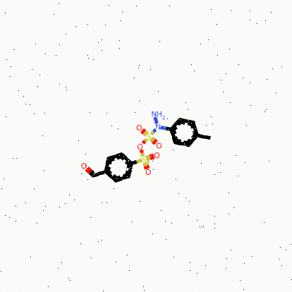 Cc1ccc(N(N)S(=O)(=O)OS(=O)(=O)c2ccc(C=O)cc2)cc1